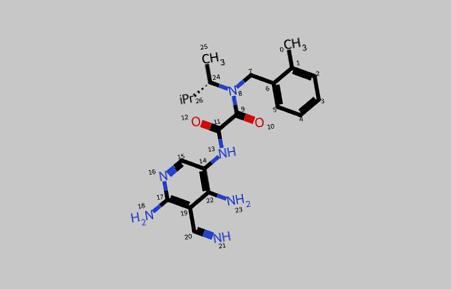 Cc1ccccc1CN(C(=O)C(=O)Nc1cnc(N)c(C=N)c1N)[C@@H](C)C(C)C